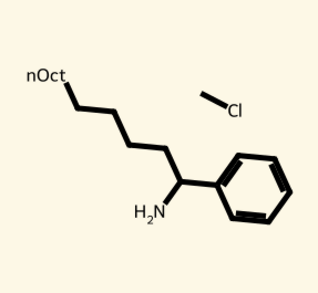 CCCCCCCCCCCCC(N)c1ccccc1.CCl